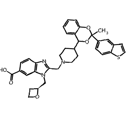 CC1(c2ccc3sccc3c2)Oc2ccccc2C(C2CCN(Cc3nc4ccc(C(=O)O)cc4n3C[C@@H]3CCO3)CC2)O1